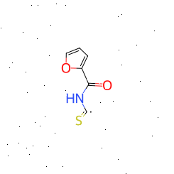 O=C(N[C]=S)c1ccco1